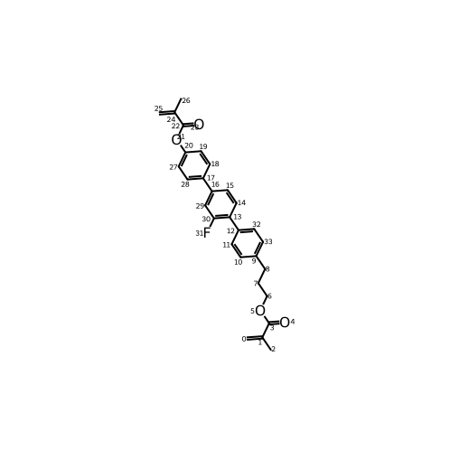 C=C(C)C(=O)OCCCc1ccc(-c2ccc(-c3ccc(OC(=O)C(=C)C)cc3)cc2F)cc1